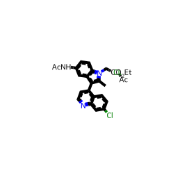 CC(=O)Cl.CCOC(=O)Cn1c(C)c(-c2ccnc3cc(Cl)ccc23)c2cc(NC(C)=O)ccc21